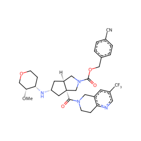 CO[C@@H]1COCC[C@@H]1N[C@@H]1C[C@H]2CN(C(=O)OCc3ccc(C#N)cc3)C[C@@]2(C(=O)N2CCc3ncc(C(F)(F)F)cc3C2)C1